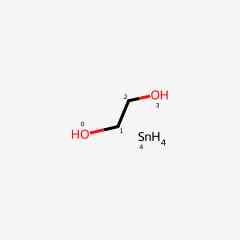 OCCO.[SnH4]